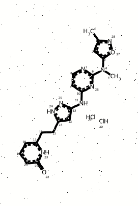 Cc1cc(N(C)c2nccc(Nc3cc(CCc4cccc(=O)[nH]4)[nH]n3)n2)on1.Cl.Cl